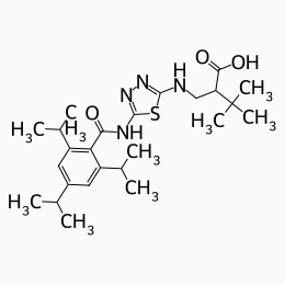 CC(C)c1cc(C(C)C)c(C(=O)Nc2nnc(NCC(C(=O)O)C(C)(C)C)s2)c(C(C)C)c1